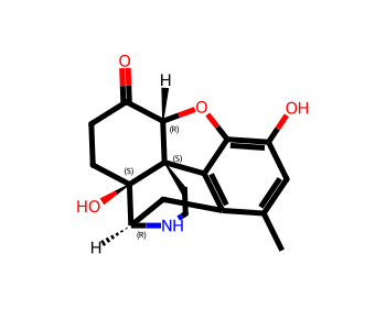 Cc1cc(O)c2c3c1C[C@H]1NCC[C@@]34[C@@H](O2)C(=O)CC[C@@]14O